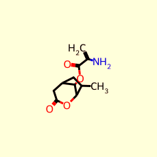 C=C(N)C(=O)OC1C2CC(=O)OC1C(C)C2